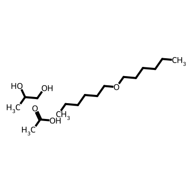 CC(=O)O.CC(O)CO.CCCCCCOCCCCCC